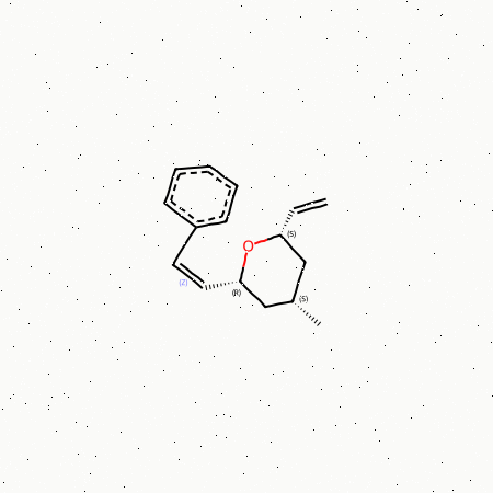 C=C[C@@H]1C[C@H](C)C[C@H](/C=C\c2ccccc2)O1